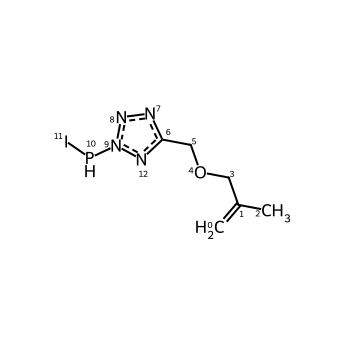 C=C(C)COCc1nnn(PI)n1